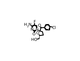 Nc1nc(=O)n([C@@]2(C(=O)c3ccc(Cl)cc3)CC[C@@H](CO)O2)cc1F